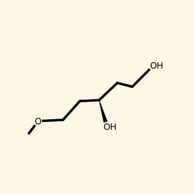 COCC[C@H](O)CCO